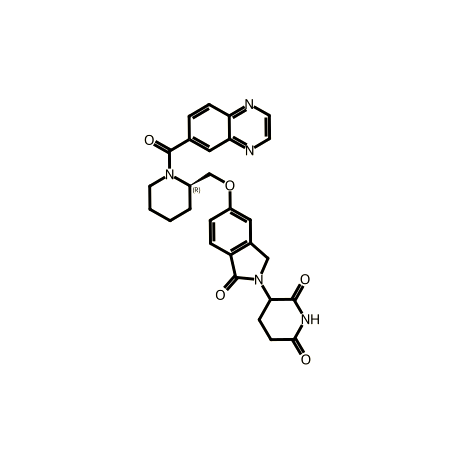 O=C1CCC(N2Cc3cc(OC[C@H]4CCCCN4C(=O)c4ccc5nccnc5c4)ccc3C2=O)C(=O)N1